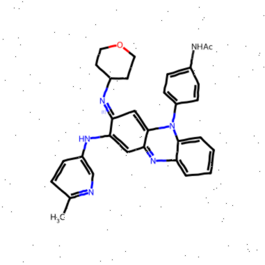 CC(=O)Nc1ccc(-n2c3c/c(=N\C4CCOCC4)c(Nc4ccc(C)nc4)cc-3nc3ccccc32)cc1